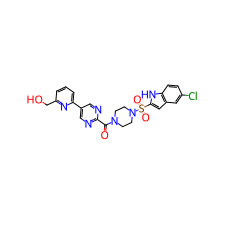 O=C(c1ncc(-c2cccc(CO)n2)cn1)N1CCN(S(=O)(=O)c2cc3cc(Cl)ccc3[nH]2)CC1